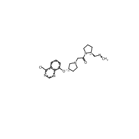 C=NC[C@@H]1CCCN1C(=O)CN1CC[C@H](Oc2cccc3c(Cl)ncnc23)C1